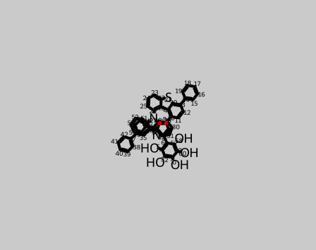 Oc1c(O)c(O)c(-c2cc(-c3ccc(-c4ccccc4)c4sc5cccc(-n6c7ccccc7c7cc(-c8ccccc8)ccc76)c5c34)cc(-c3ccccc3)n2)c(O)c1O